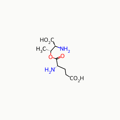 C[C@@H](OC(=O)[C@@H](N)CCC(=O)O)[C@H](N)C(=O)O